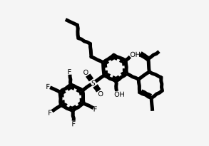 C=C(C)C1CCC(C)=CC1c1c(O)cc(CCCCC)c(S(=O)(=O)c2c(F)c(F)c(F)c(F)c2F)c1O